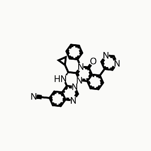 N#Cc1ccc2ncnc(N[C@H](c3nc4cccc(-c5cncnc5)c4c(=O)n3-c3ccccc3)C3CC3)c2c1